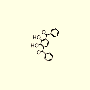 O=C(c1ccccc1)c1ccc(C(=O)c2ccccc2)c(O)c1O